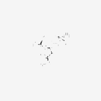 CO[C@@H]1C[C@@H](COS(C)(=O)=O)N(C(=O)O)C1